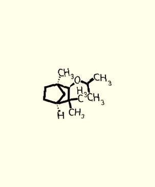 CC(C)O[C@H]1C(C)(C)[C@H]2CC[C@]1(C)C2